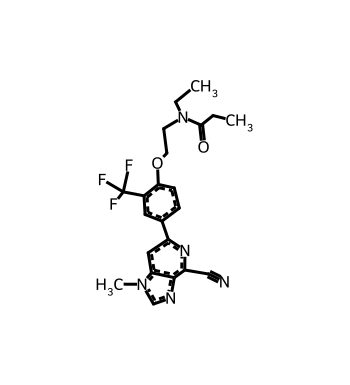 CCC(=O)N(CC)CCOc1ccc(-c2cc3c(ncn3C)c(C#N)n2)cc1C(F)(F)F